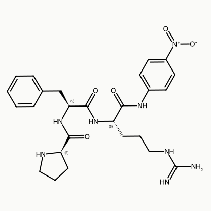 N=C(N)NCCC[C@H](NC(=O)[C@H](Cc1ccccc1)NC(=O)[C@H]1CCCN1)C(=O)Nc1ccc([N+](=O)[O-])cc1